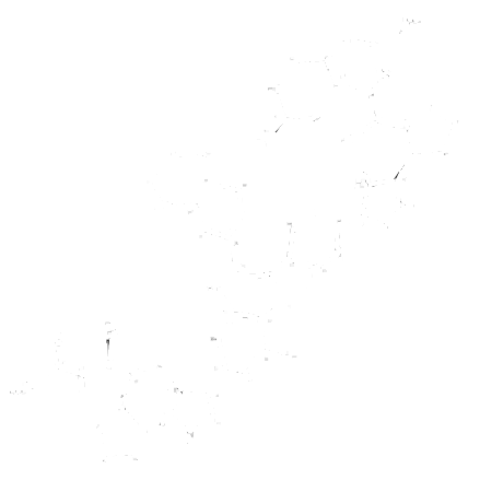 COC(=O)NC(C(=O)N1CCC[C@H]1c1ncc(-c2ccc3c(c2)cc2n3C(c3ccc4c(c3)OCCC4)Oc3cc(-c4cnc([C@@H]5CCCN5C(=O)[C@@H](NC(=O)OC)C(C)C)[nH]4)cc(F)c3-2)[nH]1)C1CCO[C@H](C)C1